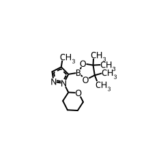 Cc1cnn(C2CCCCO2)c1B1OC(C)(C)C(C)(C)O1